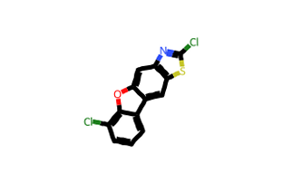 Clc1nc2cc3oc4c(Cl)cccc4c3cc2s1